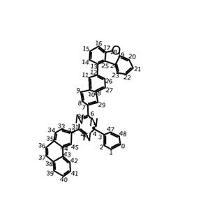 c1ccc(-c2nc(-c3ccc4cc(-c5cccc6oc7ccccc7c56)ccc4c3)nc(-c3ccc4ccc5ccccc5c4c3)n2)cc1